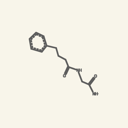 [NH]C(=O)CNC(=O)CCCc1ccccc1